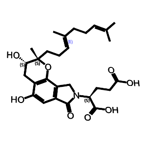 CC(C)=CCC/C(C)=C/CC[C@]1(C)Oc2c(c(O)cc3c2CN([C@@H](CCC(=O)O)C(=O)O)C3=O)C[C@@H]1O